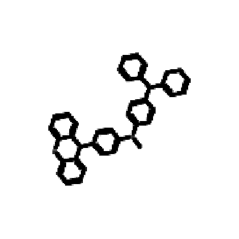 CN(c1ccc(C(C2=CC=CCC2)c2ccccc2)cc1)c1ccc(C2c3ccccc3Sc3ccccc32)cc1